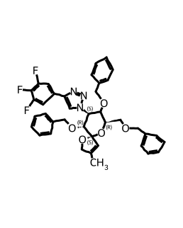 CC1=C[C@]2(OC1)O[C@H](COCc1ccccc1)C(OCc1ccccc1)[C@H](n1cc(-c3cc(F)c(F)c(F)c3)nn1)[C@H]2OCc1ccccc1